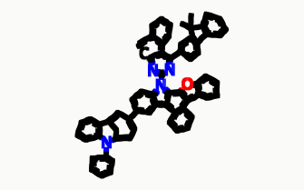 CC1(C)c2ccccc2-c2ccc(-c3nc(-n4c5ccc(C6=CC=C7CC(=C6)c6ccccc6N7c6ccccc6)cc5c5c6ccccc6c6c7ccccc7oc6c54)nc4ccc5ccccc5c34)cc21